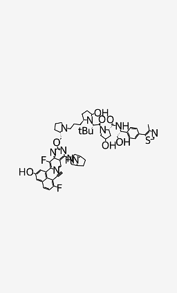 C#Cc1c(F)ccc2cc(O)cc(-c3ncc4c(N5CC6CCC(C5)N6)nc(OC[C@@H]5CCCN5CCC[C@H]5CCC(O)N5[C@H](C(=O)N5C[C@H](O)C[C@H]5C(=O)N[C@@H](CO)c5ccc(-c6scnc6C)cc5)C(C)(C)C)nc4c3F)c12